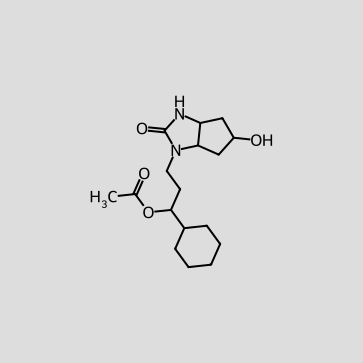 CC(=O)OC(CCN1C(=O)NC2CC(O)CC21)C1CCCCC1